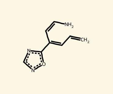 C=C/C=C(\C=C/N)c1ncno1